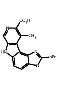 CCCc1nc2c(ccc3[nH]c4cnc(C(=O)O)c(C)c4c32)o1